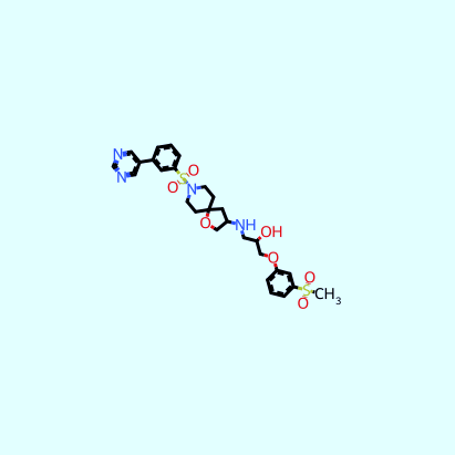 CS(=O)(=O)c1cccc(OCC(O)CNC2COC3(CCN(S(=O)(=O)c4cccc(-c5cncnc5)c4)CC3)C2)c1